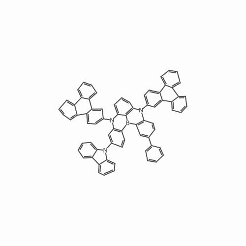 c1ccc(-c2ccc3c(c2)B2c4ccc(-n5c6ccccc6c6ccccc65)cc4N(c4ccc5c6ccccc6c6ccccc6c5c4)c4cccc(c42)N3c2ccc3c4ccccc4c4ccccc4c3c2)cc1